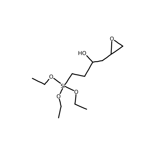 CCO[Si](CCC(O)CC1CO1)(OCC)OCC